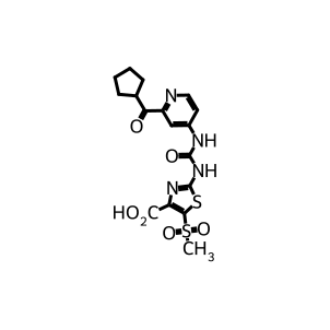 CS(=O)(=O)c1sc(NC(=O)Nc2ccnc(C(=O)C3CCCC3)c2)nc1C(=O)O